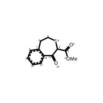 COC(=O)C1SCCc2ccccc2C1=O